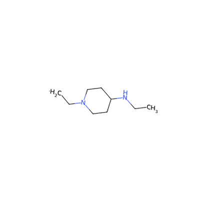 [CH2]CN1CCC(NCC)CC1